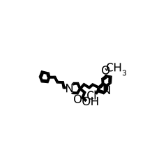 COc1ccc2ncc(Cl)c(CCCC3(CC(=O)O)CCN(CCCCc4ccccc4)CC3)c2c1